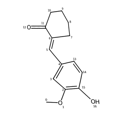 COc1cc(C=C2CCCCC2=O)ccc1O